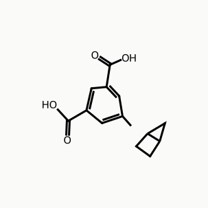 C1CC2CC12.Cc1cc(C(=O)O)cc(C(=O)O)c1